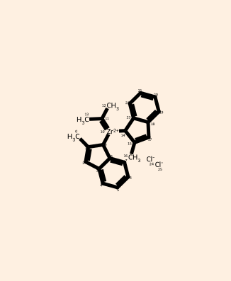 CC1=Cc2ccccc2[CH]1[Zr+2](=[C](C)C)[CH]1C(C)=Cc2ccccc21.[Cl-].[Cl-]